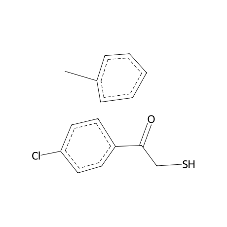 Cc1ccccc1.O=C(CS)c1ccc(Cl)cc1